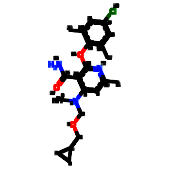 CCCN(COCC1CC1)c1cc(C)nc(Oc2c(C)cc(Cl)cc2C)c1C(N)=O